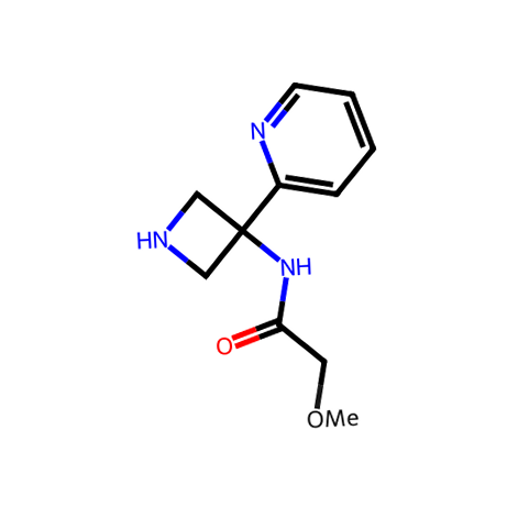 COCC(=O)NC1(c2ccccn2)CNC1